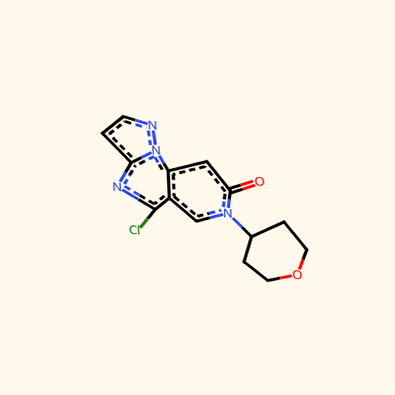 O=c1cc2c(cn1C1CCOCC1)c(Cl)nc1ccnn12